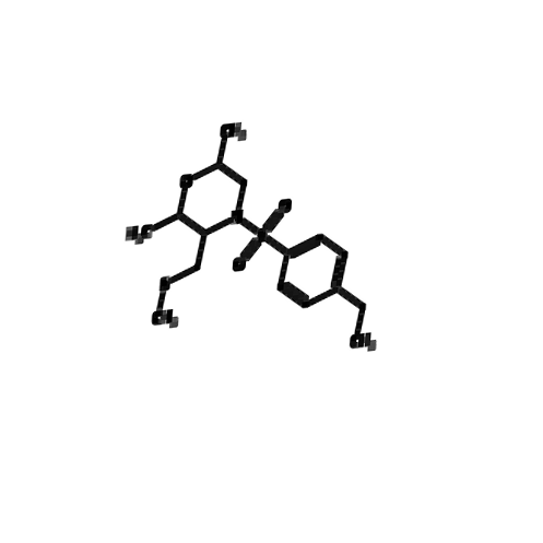 CCc1ccc(S(=O)(=O)N2CC(C)OC(C)C2CSC)cc1